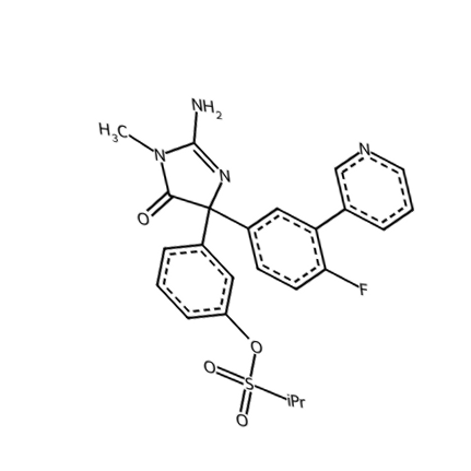 CC(C)S(=O)(=O)Oc1cccc(C2(c3ccc(F)c(-c4cccnc4)c3)N=C(N)N(C)C2=O)c1